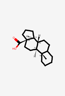 C[C@]12CCCCC1CC[C@H]1[C@@H]3CCC[C@@]3(C(=O)O)CC[C@@H]12